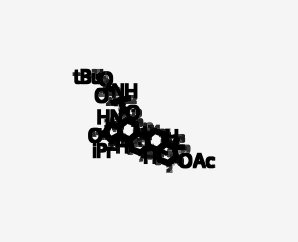 CC(=O)O[C@H]1CC[C@]2(C)[C@H]3CC[C@@H]4C5=C(C(C)C)C(=O)C[C@]5(NC(=O)C(C)(C)NC(=O)OC(C)(C)C)CC[C@@]4(C)[C@]3(C)CC[C@H]2C1(C)C